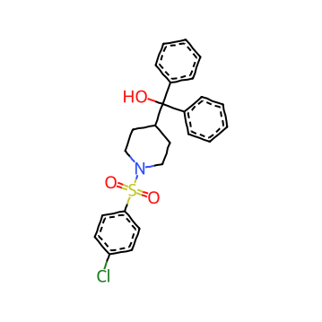 O=S(=O)(c1ccc(Cl)cc1)N1CCC(C(O)(c2ccccc2)c2ccccc2)CC1